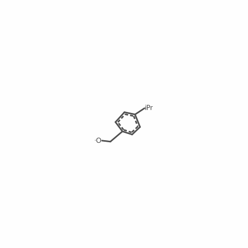 CC(C)c1ccc(C[O])cc1